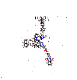 Cc1nn(C)c(COc2ccc(N3CCN(S(=O)(=O)N(C)C)CC3)cc2)c1-c1cccc2c(CCCOc3cccc4ccccc34)c(C(=O)OC(C)(C)C)n(CCN3CCN(CCCOCCOCCN4C(=O)c5ccccc5C4=O)CC3)c12